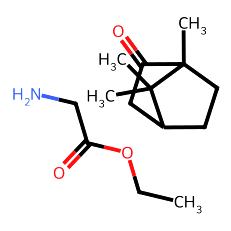 CC12CCC(CC1=O)C2(C)C.CCOC(=O)CN